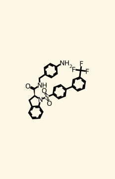 Nc1ccc(CNC(=O)[C@@H]2Cc3ccccc3N2S(=O)(=O)c2ccc(-c3cccc(C(F)(F)F)c3)cc2)cc1